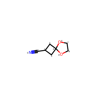 N#CC1CC2(C1)OCCO2